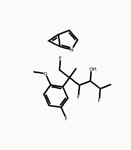 COc1ccc(F)cc1C(C)(CF)C(F)C(O)C(C)F.c1cc2cc-2n1